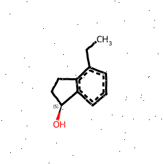 CCc1cccc2c1CC[C@@H]2O